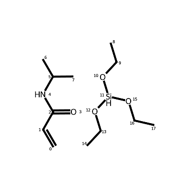 C=CC(=O)NC(C)C.CCO[SiH](OCC)OCC